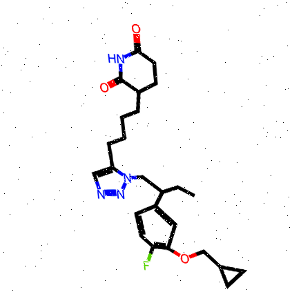 CCC(Cn1nncc1CCCCC1CCC(=O)NC1=O)c1ccc(F)c(OCC2CC2)c1